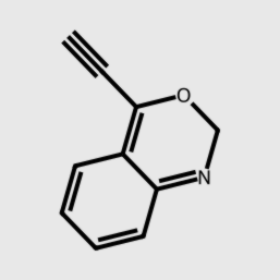 C#CC1=c2ccccc2=NCO1